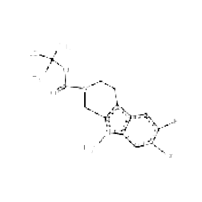 Cn1c2c(c3cc(F)c(Br)cc31)CCN(C(=O)OC(C)(C)C)C2